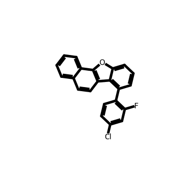 Fc1cc(Cl)ccc1-c1cccc2oc3c4ccccc4ccc3c12